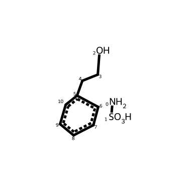 NS(=O)(=O)O.OCCc1ccccc1